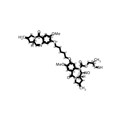 C=C1C[C@H]2C=Nc3cc(OCCCCCOc4cc5c(cc4OC)C(=O)N4CC(=C)C[C@H]4[C@H](N=O)N5C(=O)OC[C@@H](C)SS)c(OC)cc3C(=O)N2C1